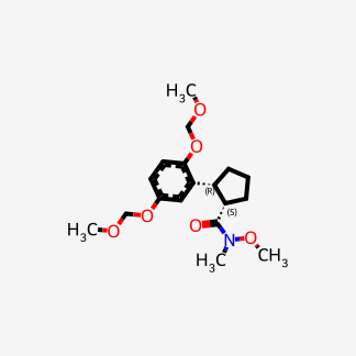 COCOc1ccc(OCOC)c([C@@H]2CCC[C@@H]2C(=O)N(C)OC)c1